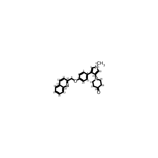 Cn1cc(-c2ccc(OCc3ccc4ccccc4n3)cc2)c(N2CCC(=O)CC2)c1